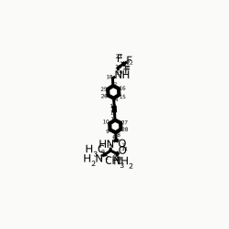 CC(C)(N)C(NC(=O)c1ccc(C#Cc2ccc(CNCC(F)(F)F)cc2)cc1)C(N)=O